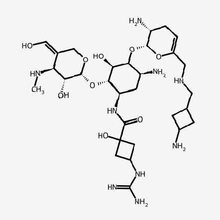 CN[C@H]1/C(=C\O)CO[C@H](O[C@H]2[C@H](NC(=O)C3(O)CC(NC(=N)N)C3)C[C@H](N)C(O[C@H]3OC(CNCC4CC(N)C4)=CC[C@H]3N)[C@@H]2O)[C@@H]1O